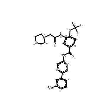 Nc1cc(-c2cnc(NC(=O)c3ccc(OC(F)(F)F)c(NC(=O)CN4CCOCC4)c3)cn2)ccn1